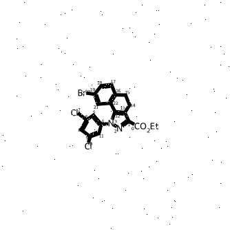 CCOC(=O)c1nn(-c2cc(Cl)cc(Cl)c2)c2c1CCc1ccc(Br)cc1-2